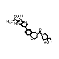 CN(C(=O)O)c1nc2ncc(-c3ccc4c(c3)CN(C(=O)N3CCC(O)(CF)CC3)CCO4)cc2[nH]1